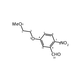 COCCOc1ccc([N+](=O)[O-])c(C=O)c1